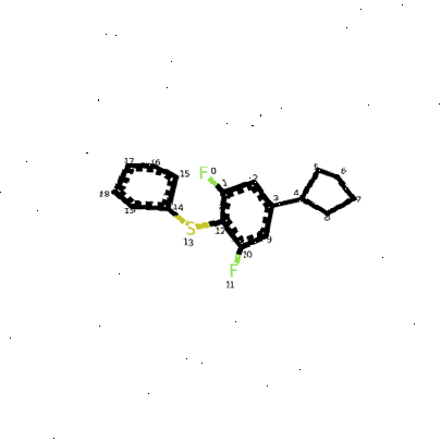 Fc1cc(C2CCCC2)cc(F)c1Sc1ccccc1